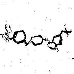 CCS(=O)(=O)Nc1cccc(CN2CCC(Nc3ncnc4ccc(CC(F)(F)F)cc34)CC2)c1